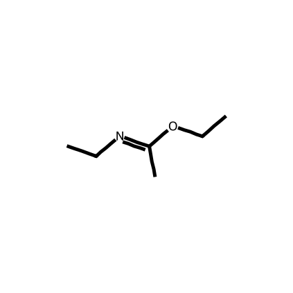 CC/N=C(\C)OCC